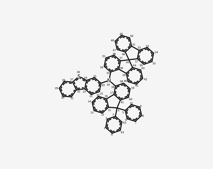 c1ccc(C2(c3ccccc3)c3ccccc3-c3c(N(c4ccc5c(c4)sc4ccccc45)c4cccc5c4-c4ccccc4C54c5ccccc5-c5ccccc54)cccc32)cc1